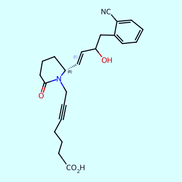 N#Cc1ccccc1CC(O)/C=C/[C@H]1CCCC(=O)N1CC#CCCCC(=O)O